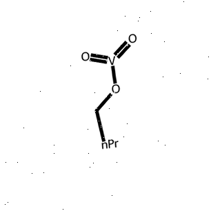 CCCC[O][V](=[O])=[O]